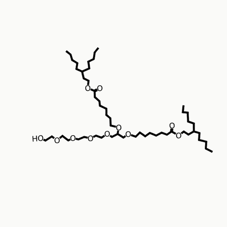 CCCCCC(CCCCC)CCOC(=O)CCCCCCCOCC(COCCOCCOCCOCCO)OCCCCCCCC(=O)OCCC(CCCCC)CCCCC